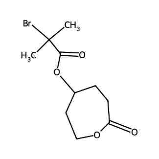 CC(C)(Br)C(=O)OC1CCOC(=O)CC1